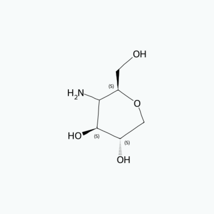 NC1[C@@H](CO)OC[C@H](O)[C@H]1O